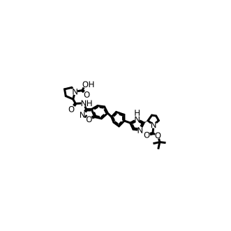 CC(C)(C)OC(=O)N1CCC[C@H]1c1ncc(-c2ccc(-c3ccc4c(NC(=O)C5CCCN5C(=O)O)noc4c3)cc2)[nH]1